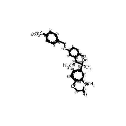 CCOC(=O)c1ccc(COc2ccc(Cl)c([C@H](C)[C@](O)(c3ccc4c(c3)N(C)C(=O)CO4)C(F)(F)F)c2)cc1